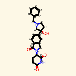 O=C1CCC(N2Cc3cc(C4(O)CCN(Cc5ccccc5)C4)ccc3C2=O)C(=O)N1